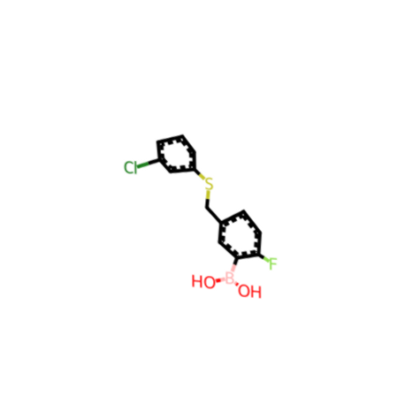 OB(O)c1cc(CSc2cccc(Cl)c2)ccc1F